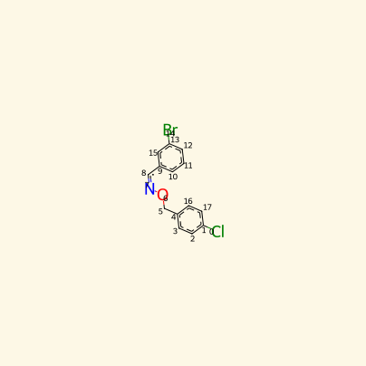 Clc1ccc(CO/N=[C]\c2cccc(Br)c2)cc1